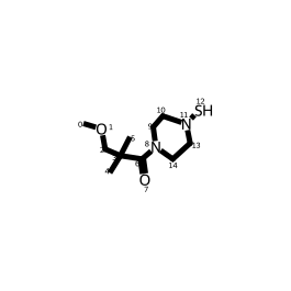 COCC(C)(C)C(=O)N1CCN(S)CC1